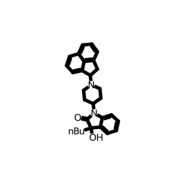 CCCCC1(O)C(=O)N(C2CCN(C3Cc4cccc5cccc3c45)CC2)c2ccccc21